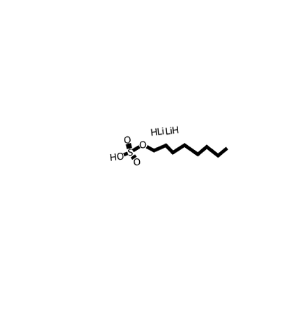 CCCCCCCCOS(=O)(=O)O.[LiH].[LiH]